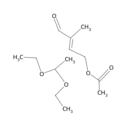 CC(=O)OC/C=C(\C)C=O.CCOC(C)OCC